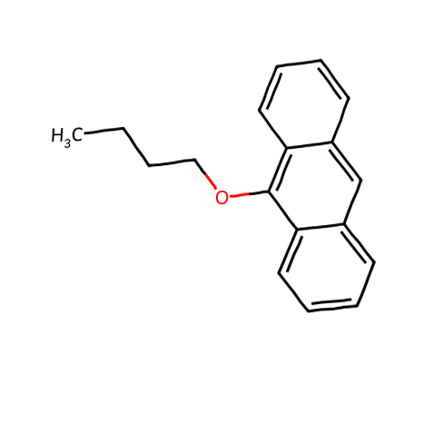 CCCCOc1c2ccccc2cc2ccccc12